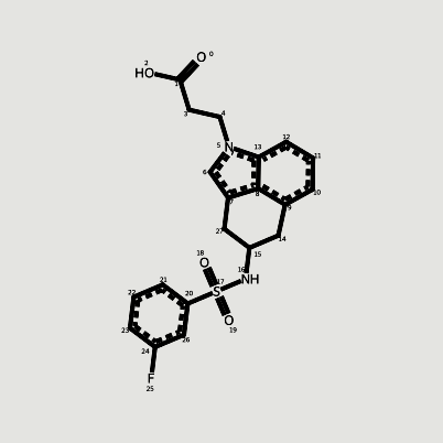 O=C(O)CCn1cc2c3c(cccc31)CC(NS(=O)(=O)c1cccc(F)c1)C2